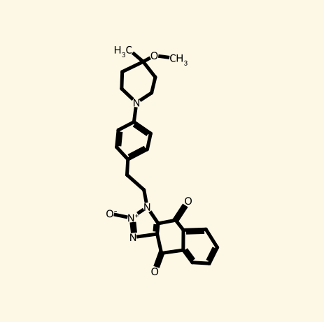 COC1(C)CCN(c2ccc(CCn3c4c(n[n+]3[O-])C(=O)c3ccccc3C4=O)cc2)CC1